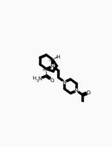 CC(=O)N1CCN(CCN2[C@H]3C[CH]C[C@]2(C(N)=O)CC3)CC1